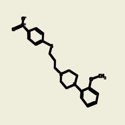 COc1ccccc1N1CCN(CCCSc2ccc([N+](=O)[O-])cc2)CC1